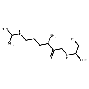 NC(N)NCCC[C@H](N)C(=O)CN[C@H](C=O)CO